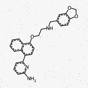 Nc1cccc(-c2ccc(OCCNCc3ccc4c(c3)OCO4)c3ccccc23)n1